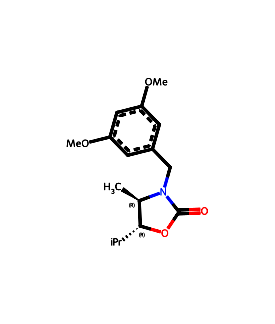 COc1cc(CN2C(=O)O[C@H](C(C)C)[C@H]2C)cc(OC)c1